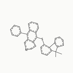 CC1(C)c2ccccc2-c2c(Sc3c4ccccc4c(-c4ccccc4)c4cnccc34)cccc21